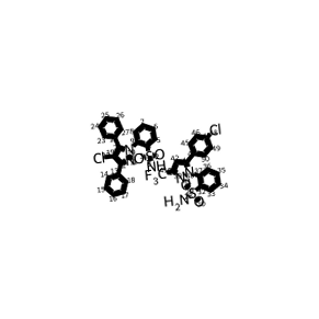 NS(=O)(=O)c1ccccc1-n1nc(-c2ccccc2)c(Cl)c1-c1ccccc1.NS(=O)(=O)c1ccccc1-n1nc(C(F)(F)F)cc1-c1ccc(Cl)cc1